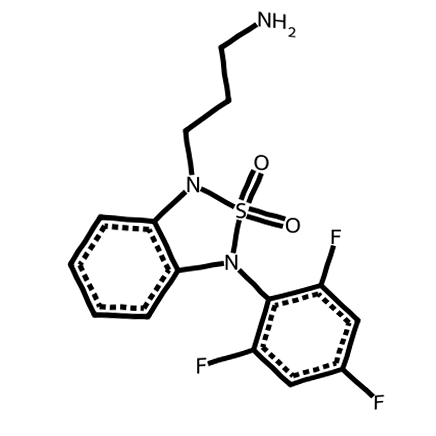 NCCCN1c2ccccc2N(c2c(F)cc(F)cc2F)S1(=O)=O